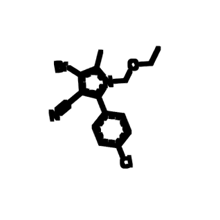 CCOCn1c(C)c(Br)c(C#N)c1-c1ccc(Cl)cc1